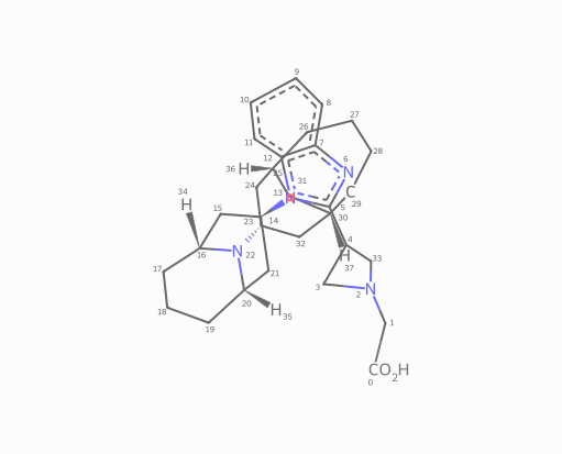 O=C(O)CN1CC(c2nc3ccccc3n2[C@@H]2C[C@H]3CCC[C@@H](C2)N3[C@@H]2C[C@@H]3CCCC[C@@H](C3)C2)C1